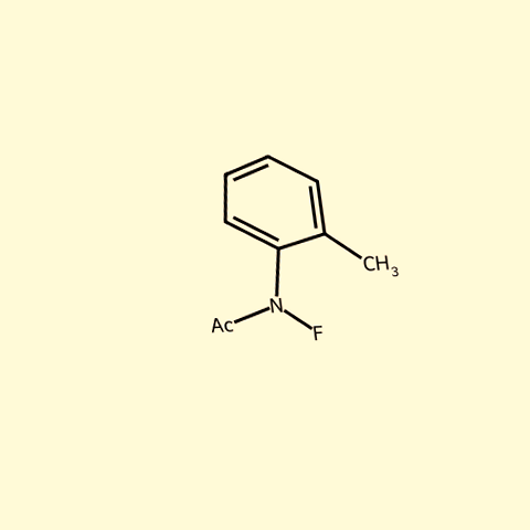 CC(=O)N(F)c1ccccc1C